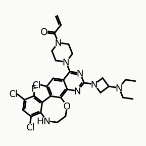 C=CC(=O)N1CCN(c2nc(N3CC(N(CC)CC)C3)nc3c4c(c(Cl)cc23)-c2c(F)c(Cl)cc(Cl)c2NCCO4)CC1